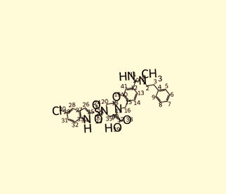 CN(CCc1ccccc1)C(=N)c1ccc(CN2C(=O)CN(S(=O)(=O)c3cc4cc(Cl)ccc4[nH]3)C[C@@H]2C(=O)O)cc1